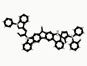 C/C=C(\C=C1/CN(c2ccccc2)c2ccccc21)n1c2ccccc2c2cc3c(cc21)C(C)c1cc2c(cc1-3)-c1ccccc1C1(C=CC(N(c3ccccc3)c3ccccc3C)=C1C)N2